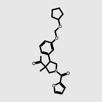 CC(=O)C1(C)CN(C(=O)c2ccco2)CC1c1cccc(OCOC2CCCC2)c1